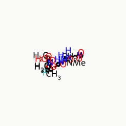 C=C(CNC(=O)CCCCCN1C(=O)C=CC1=O)NC(CCCNC)C(=O)Nc1ccc(CO[C@H]2CCc3c(C)c(F)cc(C)c3/C2=C2/Cn3c(cc4c(c3=O)COC(=C)C4O)C2=C)cc1